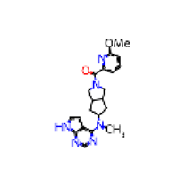 COc1cccc(C(=O)N2CC3CC(N(C)c4ncnc5[nH]ccc45)CC3C2)n1